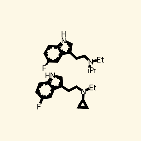 CCN(CCc1c[nH]c2ccc(F)cc12)C(C)C.CCN(CCc1c[nH]c2ccc(F)cc12)C1CC1